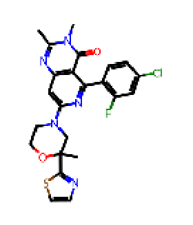 Cc1nc2cc(N3CCOC(C)(c4nccs4)C3)nc(-c3ccc(Cl)cc3F)c2c(=O)n1C